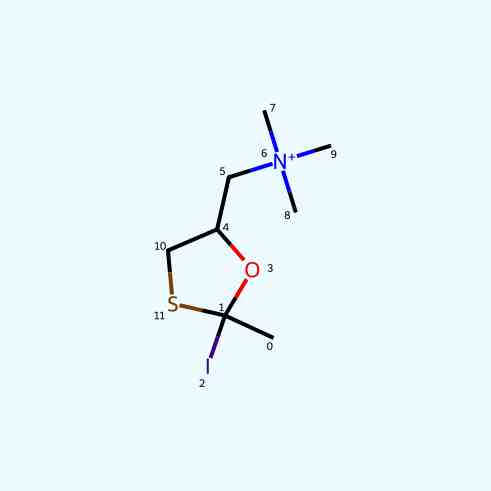 CC1(I)OC(C[N+](C)(C)C)CS1